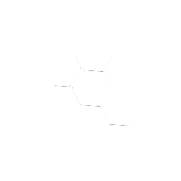 CCCCN(C)[N+](C)C(C)C